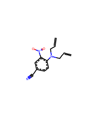 C=CCN(CC=C)c1ccc(C#N)cc1[N+](=O)[O-]